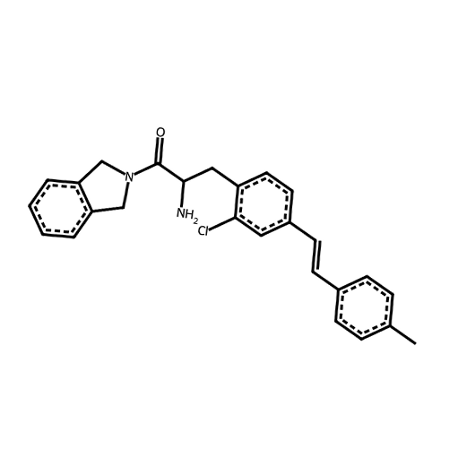 Cc1ccc(C=Cc2ccc(CC(N)C(=O)N3Cc4ccccc4C3)c(Cl)c2)cc1